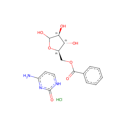 Cl.Nc1cc[nH]c(=O)n1.O=C(OC[C@H]1OC(O)[C@@H](O)[C@@H]1O)c1ccccc1